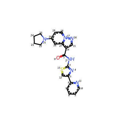 O=C(Nc1nc(-c2ccccn2)cs1)c1cnn2ccc(N3CCCC3)cc12